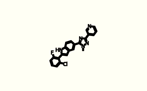 Cn1nc(-c2cccnc2)nc1-c1ccc2[nH]c(-c3c(F)cccc3Cl)cc2c1